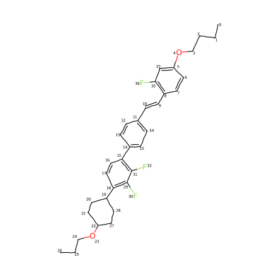 CCCCOc1ccc(/C=C/c2ccc(-c3ccc(C4CCC(OCCC)CC4)c(F)c3F)cc2)c(F)c1